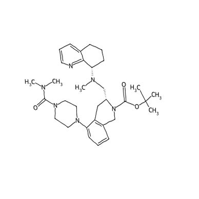 CN(C)C(=O)N1CCN(c2cccc3c2C[C@H](CN(C)[C@H]2CCCc4cccnc42)N(C(=O)OC(C)(C)C)C3)CC1